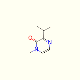 CC(C)c1nccn(C)c1=O